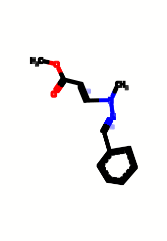 COC(=O)/C=C/N(C)/N=C/c1ccccc1